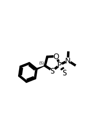 CN(C)P1(=S)OC[C@H](c2ccccc2)S1